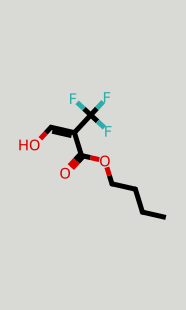 CCCCOC(=O)/C(=C\O)C(F)(F)F